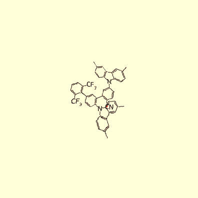 Cc1ccc2c(c1)c1cc(C)ccc1n2-c1ccc(C#N)c(-c2cc(-c3c(C(F)(F)F)cccc3C(F)(F)F)ccc2-n2c3ccc(C)cc3c3cc(C)ccc32)c1